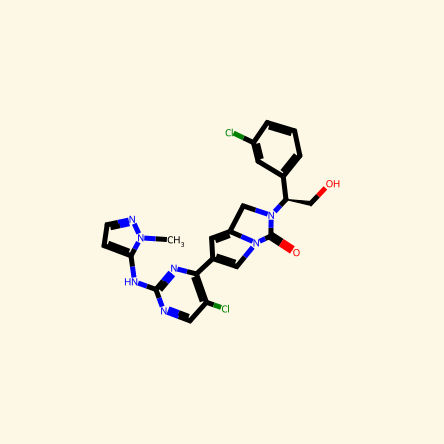 Cn1nccc1Nc1ncc(Cl)c(-c2cc3n(c2)C(=O)N([C@H](CO)c2cccc(Cl)c2)C3)n1